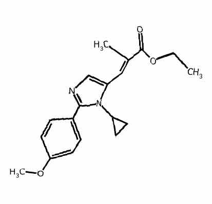 CCOC(=O)/C(C)=C/c1cnc(-c2ccc(OC)cc2)n1C1CC1